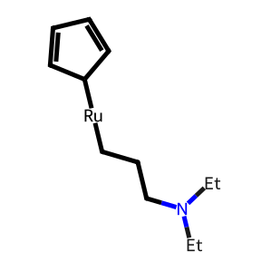 CCN(CC)CC[CH2][Ru][CH]1C=CC=C1